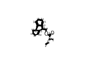 C=CCN(C)C(=O)OCC1c2ccccc2-c2ccccc21